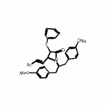 COc1ccc(CC(Cc2ccc(OC)cc2)N2C(=O)C(Sc3ccccc3)C2C=CC(C)=O)cc1